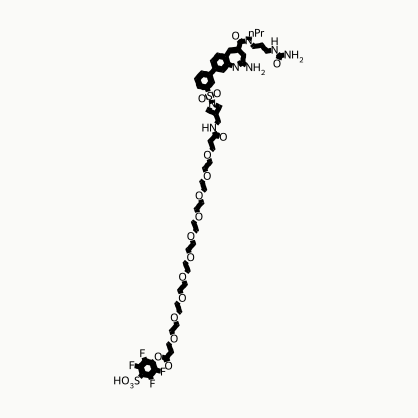 CCCN(CCCNC(N)=O)C(=O)C1=Cc2ccc(-c3cccc(S(=O)(=O)N4CC(CNC(=O)CCOCCOCCOCCOCCOCCOCCOCCOCCOCCOCCC(=O)Oc5c(F)c(F)c(S(=O)(=O)O)c(F)c5F)C4)c3)cc2N=C(N)C1